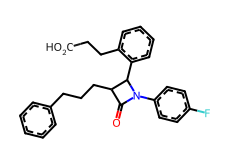 O=C(O)CCc1ccccc1C1C(CCCc2ccccc2)C(=O)N1c1ccc(F)cc1